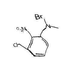 CN(Br)c1cccc(Cl)c1[N+](=O)[O-]